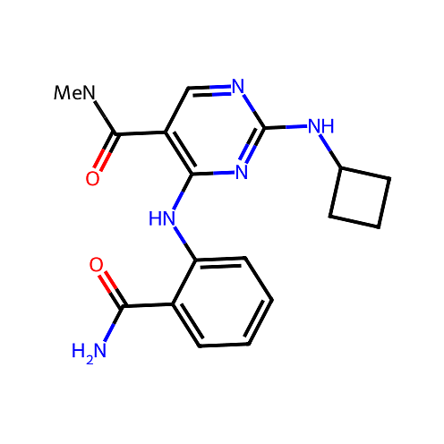 CNC(=O)c1cnc(NC2CCC2)nc1Nc1ccccc1C(N)=O